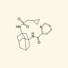 O=C(NC12CC3CC(C1)CC(NS(=O)(=O)CC1CC1)(C3)C2)c1ccccn1